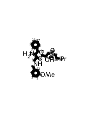 COc1cccc(CNCC(OC(=O)C(O)CS(=O)(=O)CCC(C)C)C(N)Cc2ccccc2)c1